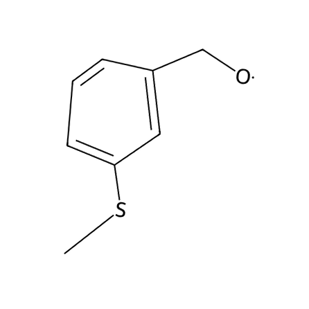 CSc1cccc(C[O])c1